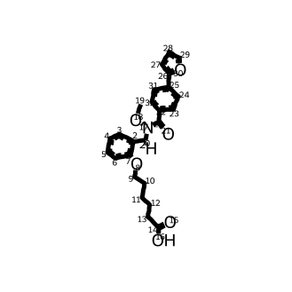 [2H]C(c1ccccc1OCCCCCC(=O)O)N(OC)C(=O)c1ccc(-c2ccco2)cc1